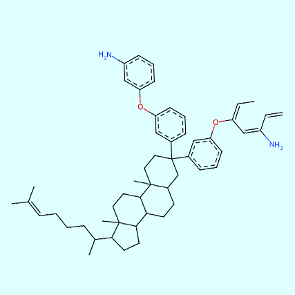 C=C/C(N)=C\C(=C/C)Oc1cccc(C2(c3cccc(Oc4cccc(N)c4)c3)CCC3(C)C(CCC4C3CCC3(C)C(C(C)CCCC=C(C)C)CCC43)C2)c1